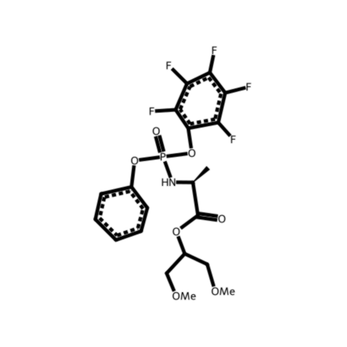 COCC(COC)OC(=O)[C@H](C)NP(=O)(Oc1ccccc1)Oc1c(F)c(F)c(F)c(F)c1F